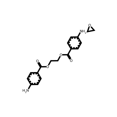 C1CO1.Nc1ccc(C(=O)OCCOC(=O)c2ccc(N)cc2)cc1